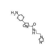 Nc1ccc(-c2cc(C(=O)NCCCn3ccnc3)no2)cc1